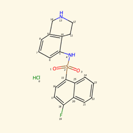 Cl.O=S(=O)(Nc1cccc2c1CCNC2)c1ccc(F)c2ccccc12